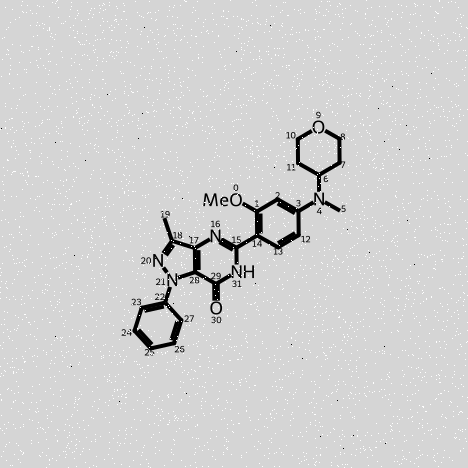 COc1cc(N(C)C2CCOCC2)ccc1-c1nc2c(C)nn(-c3ccccc3)c2c(=O)[nH]1